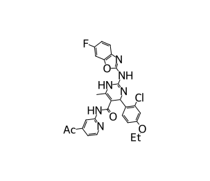 CCOc1ccc(C2N=C(Nc3nc4ccc(F)cc4o3)NC(C)=C2C(=O)Nc2cc(C(C)=O)ccn2)c(Cl)c1